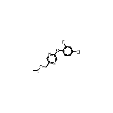 CSOCc1cnc(Oc2ccc(Cl)cc2F)cn1